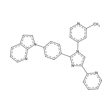 Cc1cc(-n2cc(-c3ccccn3)nc2-c2ccc(-n3ccc4cccnc43)cc2)ccn1